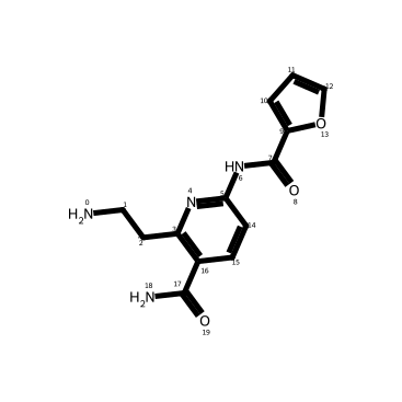 NC[CH]c1nc(NC(=O)c2ccco2)ccc1C(N)=O